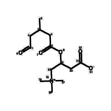 CC(C[C]=O)CC(=O)OC(CC(=O)[O-])C[N+](C)(C)C